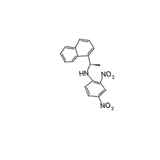 C[C@@H](Nc1ccc([N+](=O)[O-])cc1[N+](=O)[O-])c1cccc2ccccc12